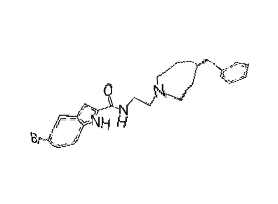 O=C(NCCN1CCC(Cc2ccccc2)CC1)c1cc2cc(Br)ccc2[nH]1